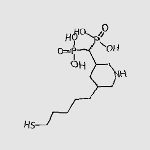 O=P(O)(O)C(C1CNCC(CCCCCS)C1)P(=O)(O)O